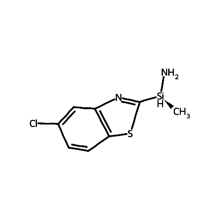 C[Si@H](N)c1nc2cc(Cl)ccc2s1